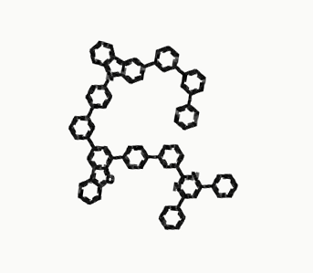 c1ccc(-c2cccc(-c3cccc(-c4ccc5c(c4)c4ccccc4n5-c4ccc(-c5cccc(-c6cc(-c7ccc(-c8cccc(-c9nc(-c%10ccccc%10)cc(-c%10ccccc%10)n9)c8)cc7)c7oc8ccccc8c7c6)c5)cc4)c3)c2)cc1